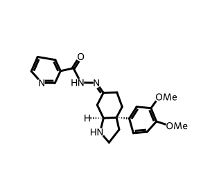 COc1ccc([C@]23CCN[C@H]2C/C(=N\NC(=O)c2cccnc2)CC3)cc1OC